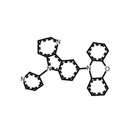 c1cncc(-n2c3ccc(N4c5ccccc5Oc5ccccc54)cc3c3ncccc32)c1